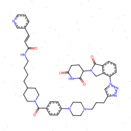 O=C(/C=C/c1cccnc1)NCCCCC1CCN(C(=O)c2ccc(N3CCN(CCCc4cn(-c5cccc6c5CN(C5CCC(=O)NC5=O)C6=O)nn4)CC3)cc2)CC1